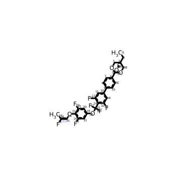 CCC12COC(c3ccc(-c4cc(F)c(C(F)(F)Oc5cc(F)c(O/C=C(\C)F)c(F)c5)c(F)c4)cc3)(OC1)OC2